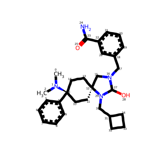 CN(C)[C@]1(c2ccccc2)CC[C@]2(CC1)CN(Cc1cccc(C(N)=O)c1)C(O)N2CC1CCC1